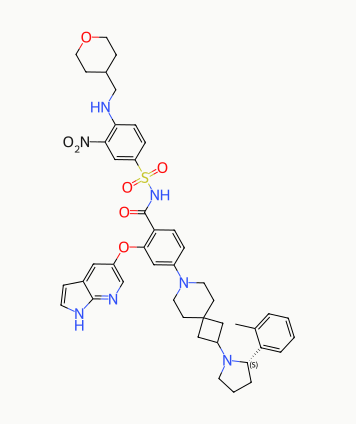 Cc1ccccc1[C@@H]1CCCN1C1CC2(CCN(c3ccc(C(=O)NS(=O)(=O)c4ccc(NCC5CCOCC5)c([N+](=O)[O-])c4)c(Oc4cnc5[nH]ccc5c4)c3)CC2)C1